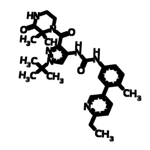 CCc1ccc(-c2cc(NC(=O)Nc3cn(C(C)(C)C)nc3C(=O)N3CCNC(=O)C3(C)C)ccc2C)cn1